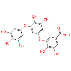 O=C(O)c1cc(O)c(O)c(Oc2cc(O)c(O)c(Oc3cc(O)c(O)c(O)c3)c2)c1